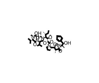 CC[C@@H](C)[C@@H]([C@@H](CC(=O)N1CCC[C@H]1[C@H](OC)[C@@H](C)C(=O)N[C@H](C)[C@@H](O)c1ccccc1)OC)N(C)C(=O)[C@@H](NC(=O)[C@H](C(C)C)N(C)C(=O)O)C(C)C